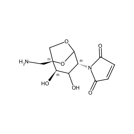 NC[C@@]12COC(O1)[C@H](N1C(=O)C=CC1=O)C(O)[C@H]2O